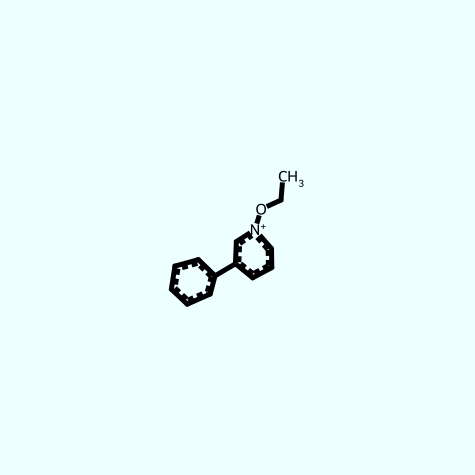 CCO[n+]1cccc(-c2ccccc2)c1